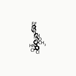 CC1c2c([nH]c3c(Cl)c(Cl)ccc23)CCN1C(=O)c1ncc(N2CCN3CC(F)(F)CC3C2)cn1